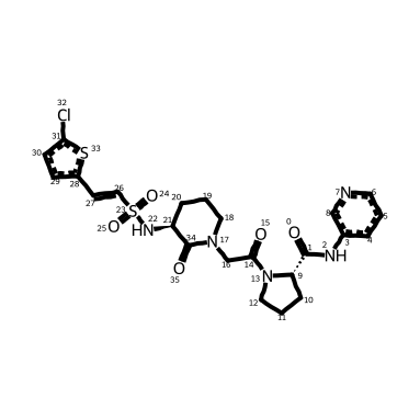 O=C(Nc1cccnc1)[C@@H]1CCCN1C(=O)CN1CCC[C@H](NS(=O)(=O)/C=C/c2ccc(Cl)s2)C1=O